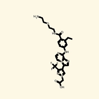 CCc1cc(Nc2nccn3c(-c4cn(CC(=O)O)nc4C(F)(F)F)cnc23)ccc1C(=O)NCCOCCN